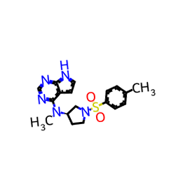 Cc1ccc(S(=O)(=O)N2CC[C@@H](N(C)c3ncnc4[nH]ccc34)C2)cc1